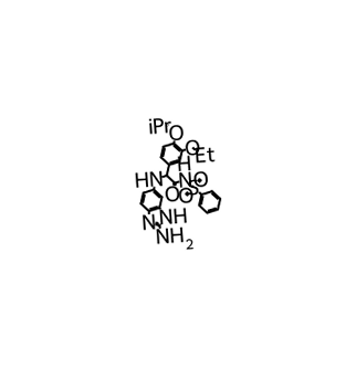 CCOc1cc(C(Nc2ccc3nc(N)[nH]c3c2)C(=O)NS(=O)(=O)c2ccccc2)ccc1OC(C)C